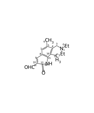 CCN(CC)Cc1c(C)cc2cc(C=O)c(=O)[nH]c2c1C